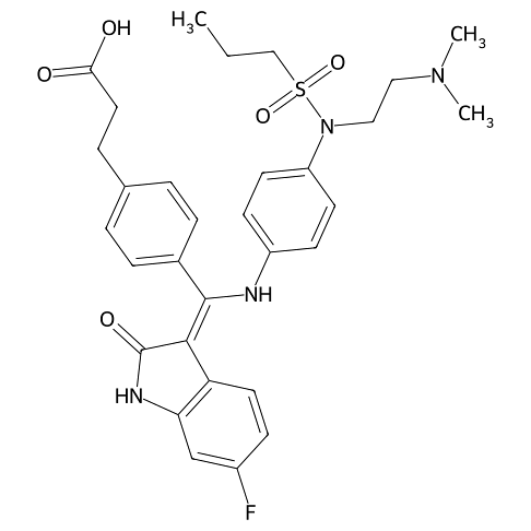 CCCS(=O)(=O)N(CCN(C)C)c1ccc(NC(=C2C(=O)Nc3cc(F)ccc32)c2ccc(CCC(=O)O)cc2)cc1